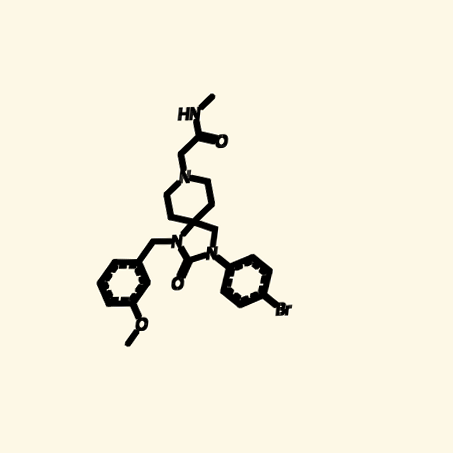 CNC(=O)CN1CCC2(CC1)CN(c1ccc(Br)cc1)C(=O)N2Cc1cccc(OC)c1